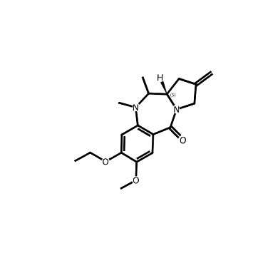 C=C1C[C@H]2C(C)N(C)c3cc(OCC)c(OC)cc3C(=O)N2C1